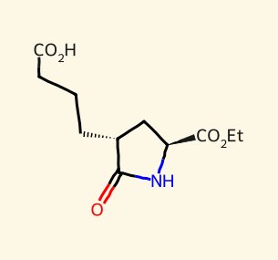 CCOC(=O)[C@@H]1C[C@@H](CCCC(=O)O)C(=O)N1